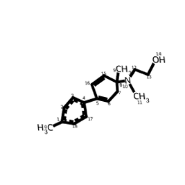 Cc1ccc(C2=CCC(C)(N(C)CCO)C=C2)cc1